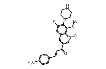 CCSc1c(N2CCNCC2)c(F)cc2cc(C(=O)C=Cc3ccc(C)cc3)c[n+]([O-])c12